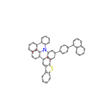 c1ccc(-c2ccccc2N(c2cccc(-c3ccc(-c4cccc5ccccc45)cc3)c2)c2ccccc2-c2ccc3sc4ccccc4c3c2)cc1